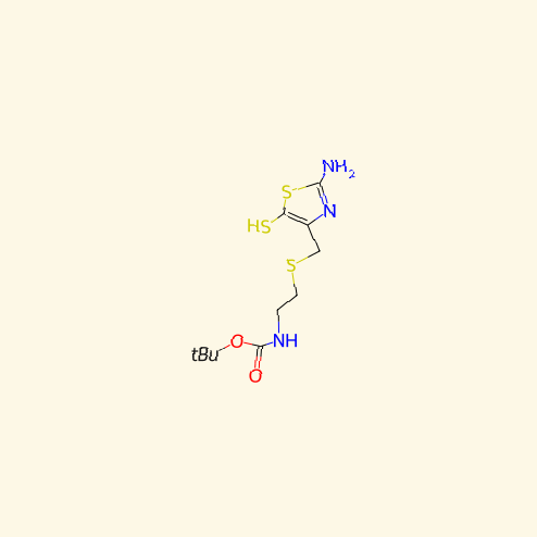 CC(C)(C)OC(=O)NCCSCc1nc(N)sc1S